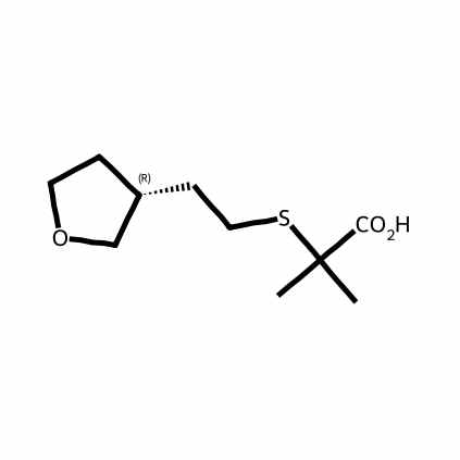 CC(C)(SCC[C@H]1CCOC1)C(=O)O